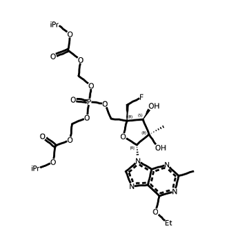 CCOc1nc(C)nc2c1ncn2[C@@H]1O[C@](CF)(COP(=O)(OCOC(=O)OC(C)C)OCOC(=O)OC(C)C)[C@@H](O)[C@@]1(C)O